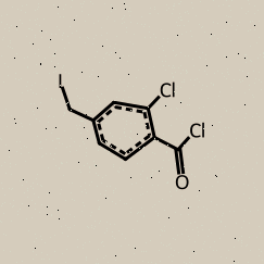 O=C(Cl)c1ccc(CI)cc1Cl